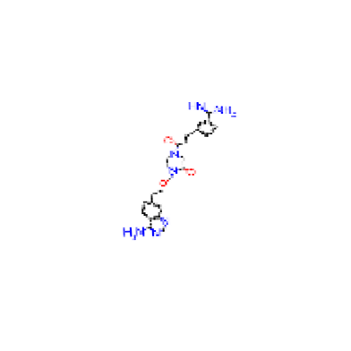 N=C(N)c1cccc(CCC(=O)N2CCN(COCCc3ccc4c(N)ncnc4c3)C(=O)C2)c1